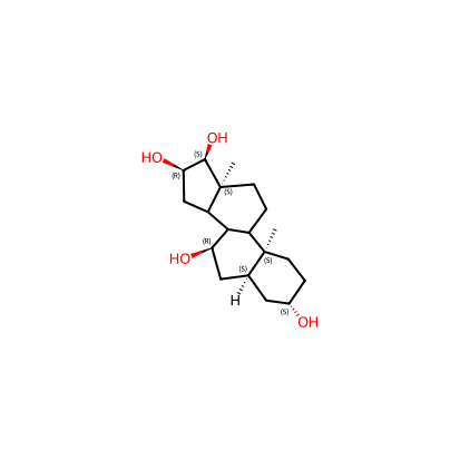 C[C@]12CCC3C(C1C[C@@H](O)[C@H]2O)[C@H](O)C[C@@H]1C[C@@H](O)CC[C@]31C